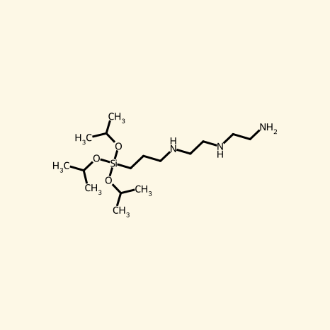 CC(C)O[Si](CCCNCCNCCN)(OC(C)C)OC(C)C